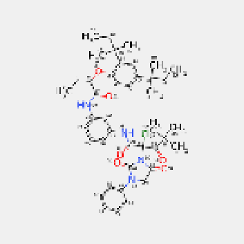 CCC(Oc1ccc(C(C)(C)CC)cc1C(C)(C)CC)C(=O)Nc1cccc(NC(=O)C(Cl)(C(=O)C(C)(C)C)N2C(=O)CN(c3ccccc3)C2=O)c1